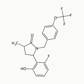 CC1CC(c2c(O)cccc2F)N(Cc2ccc(OC(F)(F)F)cc2)C1=O